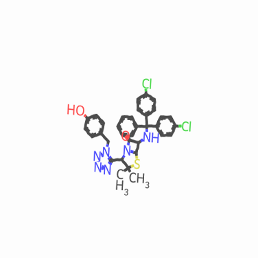 CC1(C)SC2C(NC(c3ccccc3)(c3ccc(Cl)cc3)c3ccc(Cl)cc3)C(=O)N2C1c1nnnn1Cc1ccc(O)cc1